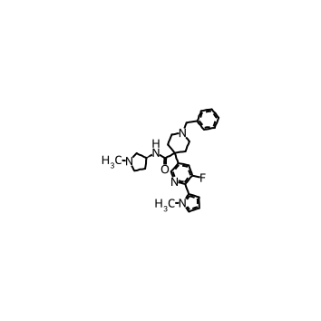 CN1CC[C@H](NC(=O)C2(c3cnc(-c4cccn4C)c(F)c3)CCN(Cc3ccccc3)CC2)C1